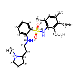 CCc1cc(CC)c(OC)c(C(=O)O)c1NS(=O)(=O)c1ccccc1NCCC1CCCN1C